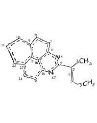 C/C=C(\C)c1nc2ccc3cccc4ccc(n1)c2c34